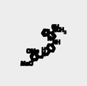 COc1ccc(OC)c(CNCC2CCC(Nc3cc(N(C)C)c4ccccc4n3)CC2)c1